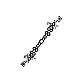 C=CC(=O)OCCOc1cc(C(C)C)c(N2C(=O)c3ccc4c5ccc6c7c(ccc(c8ccc(c3c48)C2=O)c75)-c2cc3cc4c(cc3cc2-6)/C=C\c2cc3cc5c(cc3cc2/C=C\4)-c2ccc3c4ccc6c7c(ccc(c8ccc-5c2c83)c74)C(=O)N(c2c(C(C)C)cc(OCCOC(=O)C=C)cc2C(C)C)C6=O)c(C(C)C)c1